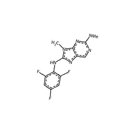 CNc1ncc2nc(Nc3c(F)cc(F)cc3F)n(C)c2n1